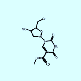 COC(=O)c1cn([C@H]2C[C@@H](O)C(CO)O2)c(=O)[nH]c1=O